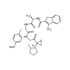 COc1ccc(C[C@H](NC(=O)[C@@H](C)NC(=O)C2=C(C)c3ccccc3C2)C(=O)N[C@@H](CC2CCCC2)C(=O)[C@@]2(C)CO2)cc1